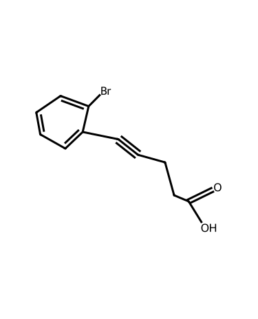 O=C(O)CCC#Cc1ccccc1Br